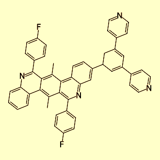 Cc1c2c(-c3ccc(F)cc3)nc3cc(C4C=C(c5ccncc5)C=C(c5ccncc5)C4)ccc3c2c(C)c2c(-c3ccc(F)cc3)nc3ccccc3c12